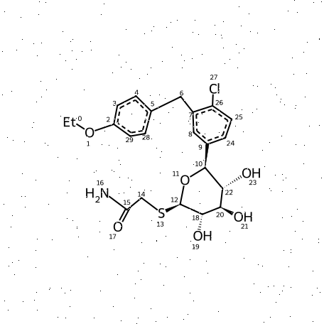 CCOc1ccc(Cc2cc([C@@H]3O[C@H](SCC(N)=O)[C@@H](O)[C@H](O)[C@H]3O)ccc2Cl)cc1